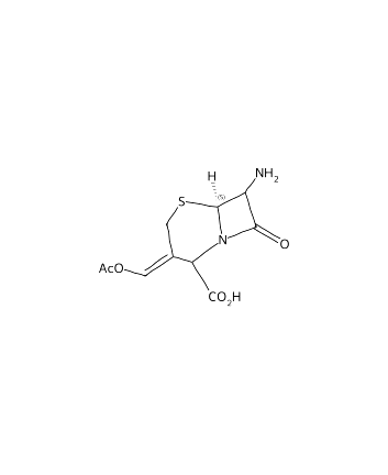 CC(=O)OC=C1CS[C@H]2C(N)C(=O)N2C1C(=O)O